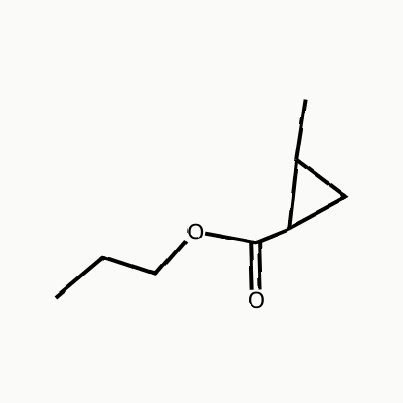 CCCOC(=O)C1CC1C